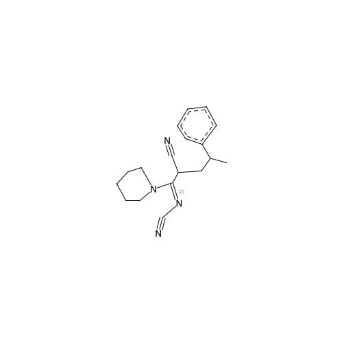 CC(CC(C#N)/C(=N/C#N)N1CCCCC1)c1ccccc1